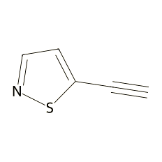 C#Cc1ccns1